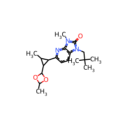 CC1OC(C2C(C)C2c2ccc3c(n2)n(C)c(=O)n3CC(C)(C)C)O1